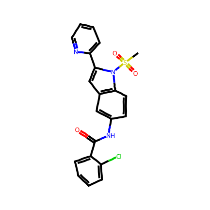 CS(=O)(=O)n1c(-c2ccccn2)cc2cc(NC(=O)c3ccccc3Cl)ccc21